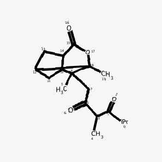 CC(C)C(=O)C(C)C(=O)CC1(C)C2CC3CC2C(=O)OC31C